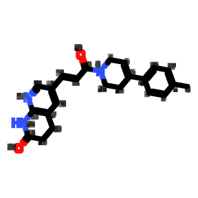 Cc1ccc(C2=CCN(C(=O)C=Cc3cnc4c(c3)CCC(=O)N4)CC2)cc1